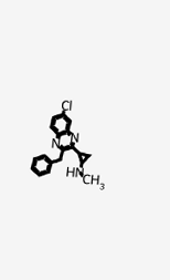 CNC1CC1c1nc2cc(Cl)ccc2nc1Cc1ccccc1